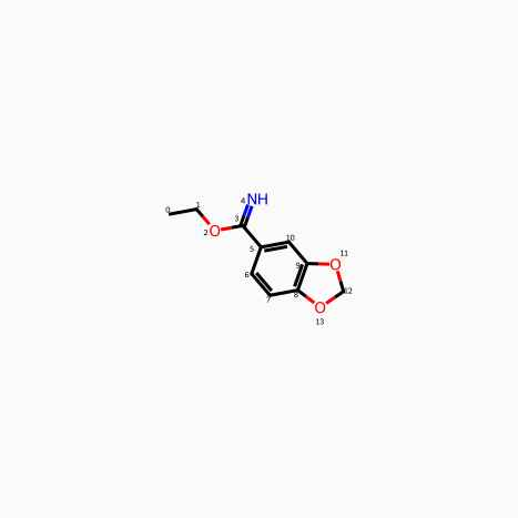 CCOC(=N)c1ccc2c(c1)OCO2